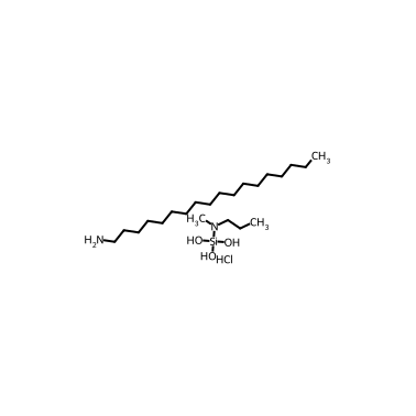 CCCCCCCCCCCCCCCCCCN.CCCN(C)[Si](O)(O)O.Cl